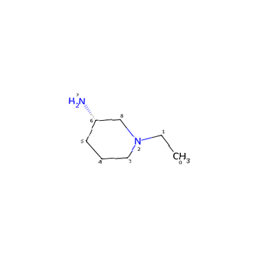 CCN1CCC[C@H](N)C1